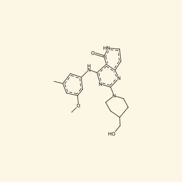 COc1cc(C)cc(Nc2nc(N3CCC(CO)CC3)nc3cc[nH]c(=O)c23)c1